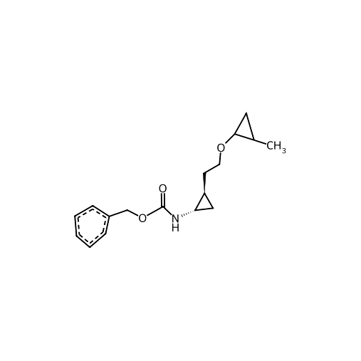 CC1CC1OCC[C@H]1C[C@@H]1NC(=O)OCc1ccccc1